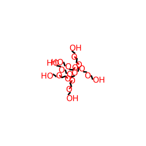 OCCOCCOC(COCC(OCCOCCO)(OCCOCCO)OCCOCCO)(OCCOCCO)OCCOCCO